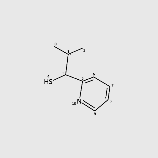 C[C](C)C(S)c1ccccn1